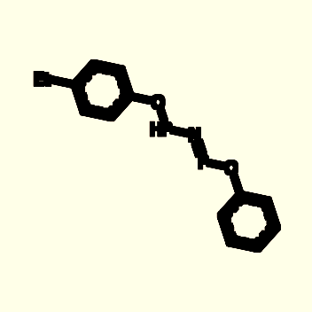 CCc1ccc(OPN=POc2ccccc2)cc1